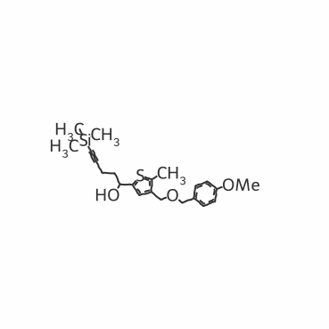 COc1ccc(COCc2cc(C(O)CCC#C[Si](C)(C)C)sc2C)cc1